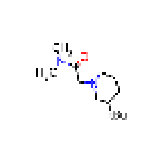 CN(C)C(=O)CN1CCCC(C(C)(C)C)C1